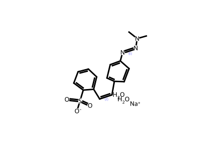 CN(C)/N=N/c1ccc(/C=C\c2ccccc2S(=O)(=O)[O-])cc1.O.O.[Na+]